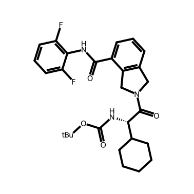 CC(C)(C)OC(=O)N[C@H](C(=O)N1Cc2cccc(C(=O)Nc3c(F)cccc3F)c2C1)C1CCCCC1